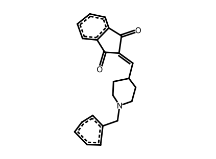 O=C1C(=CC2CCN(Cc3ccccc3)CC2)C(=O)c2ccccc21